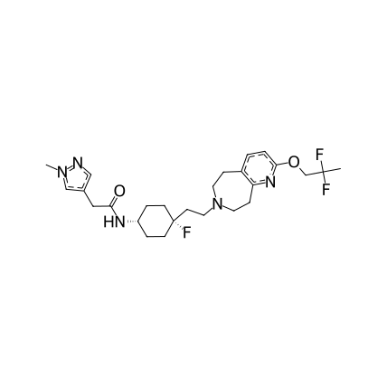 Cn1cc(CC(=O)N[C@H]2CC[C@](F)(CCN3CCc4ccc(OCC(C)(F)F)nc4CC3)CC2)cn1